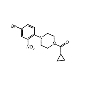 O=C(C1CC1)N1CCN(c2ccc(Br)cc2[N+](=O)[O-])CC1